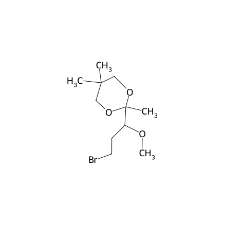 COC(CCBr)C1(C)OCC(C)(C)CO1